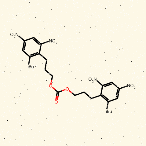 CCC(C)c1cc([N+](=O)[O-])cc([N+](=O)[O-])c1CCCOC(=O)OCCCc1c(C(C)CC)cc([N+](=O)[O-])cc1[N+](=O)[O-]